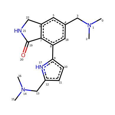 CN(C)Cc1cc2c(c(-c3ccc(CN(C)C)[nH]3)c1)C(=O)NC2